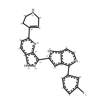 Fc1cccc(-c2nccc3[nH]c(-c4n[nH]c5ccc(C6=CCNCC6)nc45)cc23)c1